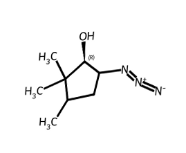 CC1CC(N=[N+]=[N-])[C@H](O)C1(C)C